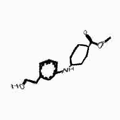 COC(=O)[C@H]1CC[C@H](Nc2cccc(CCO)c2)CC1